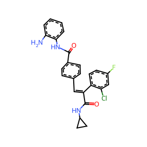 Nc1ccccc1NC(=O)c1ccc(/C=C(/C(=O)NC2CC2)c2ccc(F)cc2Cl)cc1